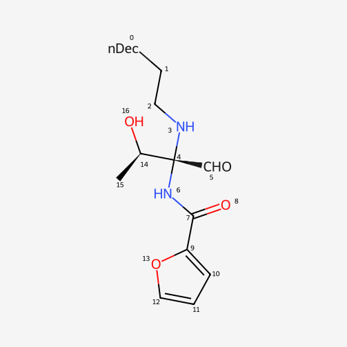 CCCCCCCCCCCCN[C@](C=O)(NC(=O)c1ccco1)[C@@H](C)O